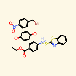 CCOC(=O)c1ccc(N)cc1.O=C1C=CC(=O)C=C1.O=[N+]([O-])c1ccc(CBr)cc1.Sc1nc2ccccc2s1